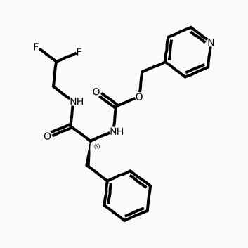 O=C(N[C@@H](Cc1ccccc1)C(=O)NCC(F)F)OCc1ccncc1